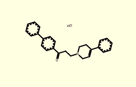 Cl.O=C(CCN1CC=C(c2ccccc2)CC1)c1ccc(-c2ccccc2)cc1